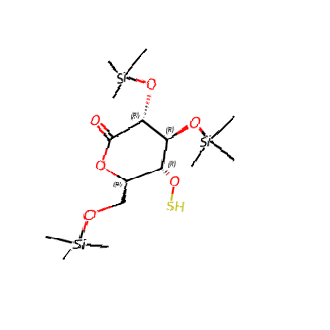 C[Si](C)(C)OC[C@H]1OC(=O)[C@H](O[Si](C)(C)C)[C@@H](O[Si](C)(C)C)[C@@H]1OS